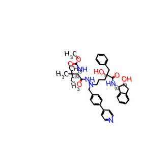 COC(=O)N[C@H](C(=O)NN(CCC[C@@](O)(Cc1ccccc1)C(=O)N[C@H]1c2ccccc2C[C@H]1O)Cc1ccc(-c2ccncc2)cc1)C(C)(C)C